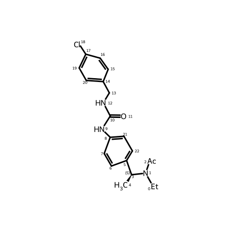 CCN(C(C)=O)[C@@H](C)c1ccc(NC(=O)NCc2ccc(Cl)cc2)cc1